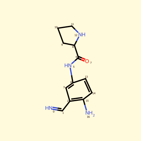 N=Cc1cc(NC(=O)C2CCCN2)ccc1N